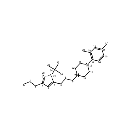 CCCc1cc(CCCN2CCN(c3ccc(C)cc3C)CC2)n(C(C)(C)C)n1